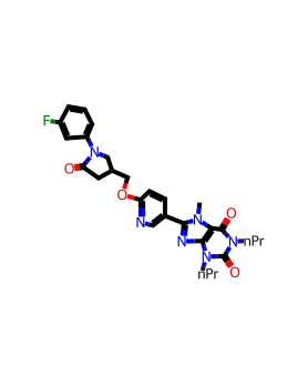 CCCn1c(=O)c2c(nc(-c3ccc(OCC4CC(=O)N(c5cccc(F)c5)C4)nc3)n2C)n(CCC)c1=O